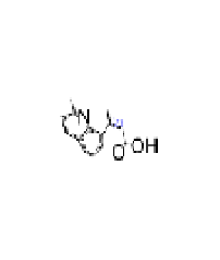 C/C(=C/C(=O)O)c1cccc2ccc(C)nc12